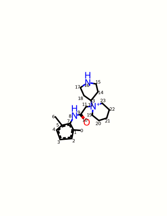 Cc1cccc(C)c1NC(=O)C[N+]1(C2CCNCC2)CCCCC1